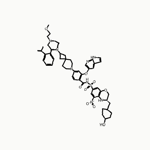 COCCN1CCN(C2CC3(CCN(c4ccc(C(=O)NS(=O)(=O)c5cc6c(c([N+](=O)[O-])c5)N[C@H](CC5CCC(O)CC5)CO6)c(Oc5cnc6[nH]ccc6c5)c4)CC3)C2)C(c2ccccc2C(C)C)C1